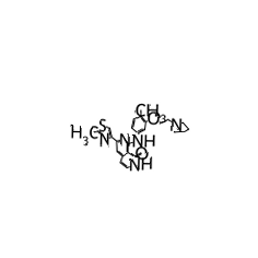 Cc1nc(-c2cc3cc[nH]c(=O)c3c(Nc3ccc(C)c(OCCN4CCCC4)c3)n2)cs1